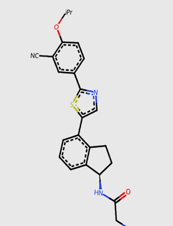 CC(C)Oc1ccc(-c2ncc(-c3cccc4c3CC[C@H]4NC(=O)CN)s2)cc1C#N